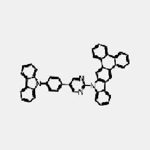 c1ccc2c(c1)c1ccccc1c1cc3c(cc21)c1ccccc1n3-c1ncc(-c2ccc(-n3c4ccccc4c4ccccc43)cc2)cn1